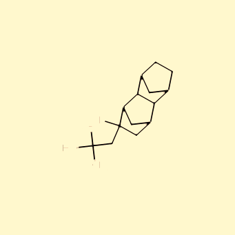 OC(CC1(F)CC2CC1C1C3CCC(C3)C21)(C(F)(F)F)C(F)(F)F